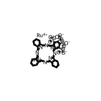 O=S(=O)([O-])c1c(S(=O)(=O)[O-])c(S(=O)(=O)[O-])c2c3nc4nc(nc5[nH]c(nc6nc(nc([nH]3)c2c1S(=O)(=O)[O-])-c1ccccc1-6)c1ccccc51)-c1ccccc1-4.[Ru+4]